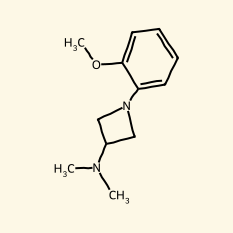 COc1ccccc1N1CC(N(C)C)C1